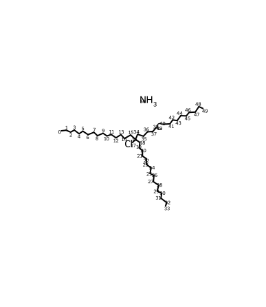 CCCCCCCCCCCCCCCCC(Cl)(CCCCCCCCCCCCCCCC)CCCCCCCCCCCCCCCC.N